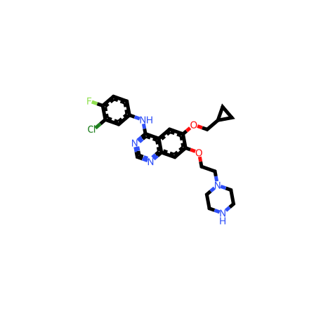 Fc1ccc(Nc2ncnc3cc(OCCN4CCNCC4)c(OCC4CC4)cc23)cc1Cl